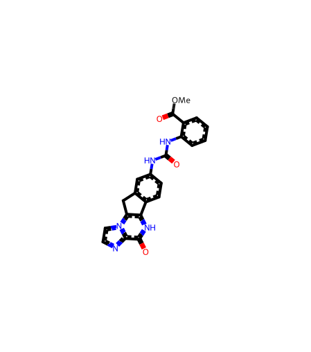 COC(=O)c1ccccc1NC(=O)Nc1ccc2c(c1)Cc1c-2[nH]c(=O)c2nccn12